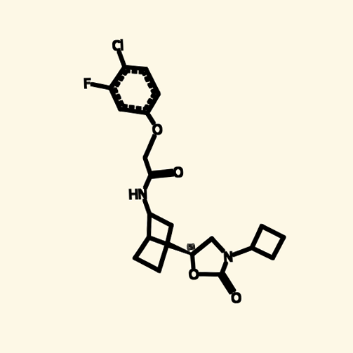 O=C(COc1ccc(Cl)c(F)c1)NC1CC2([C@H]3CN(C4CCC4)C(=O)O3)CCC12